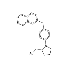 CC(=O)CC1CCCN1c1ccc(Cc2ccc3ccccc3c2)cc1